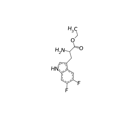 CCOC(=O)C(N)Cc1c[nH]c2cc(F)c(F)cc12